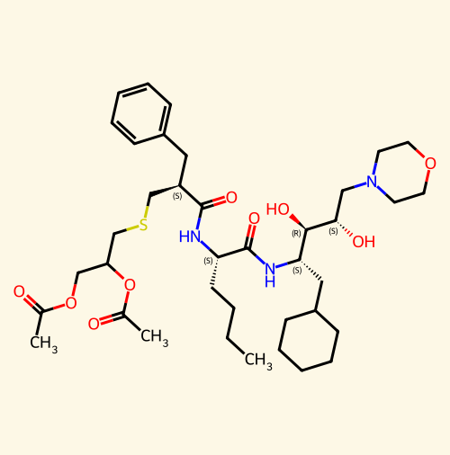 CCCC[C@H](NC(=O)[C@@H](CSCC(COC(C)=O)OC(C)=O)Cc1ccccc1)C(=O)N[C@@H](CC1CCCCC1)[C@@H](O)[C@@H](O)CN1CCOCC1